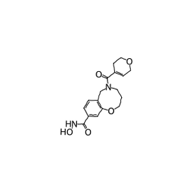 O=C(NO)c1ccc2c(c1)OCCCN(C(=O)C1=CCOCC1)C2